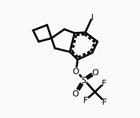 O=S(=O)(Oc1ccc(I)c2c1CC1(CCC1)C2)C(F)(F)F